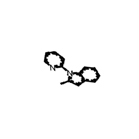 Cc1cc2ccccc2n1-c1ccccn1